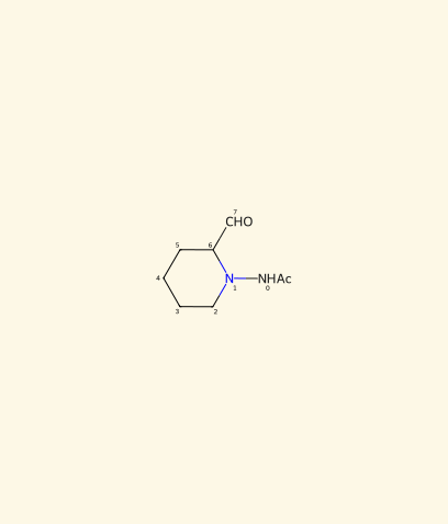 CC(=O)NN1CCCCC1C=O